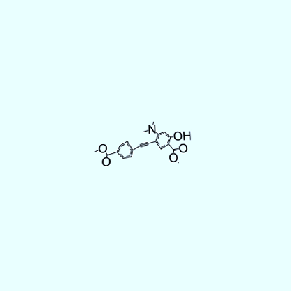 COC(=O)c1ccc(C#Cc2cc(C(=O)OC)c(O)cc2N(C)C)cc1